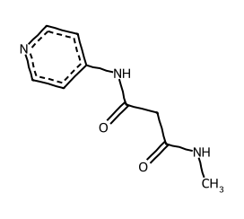 CNC(=O)CC(=O)Nc1ccncc1